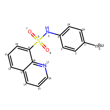 CCCCc1ccc(NS(=O)(=O)c2cccc3cccnc23)cc1